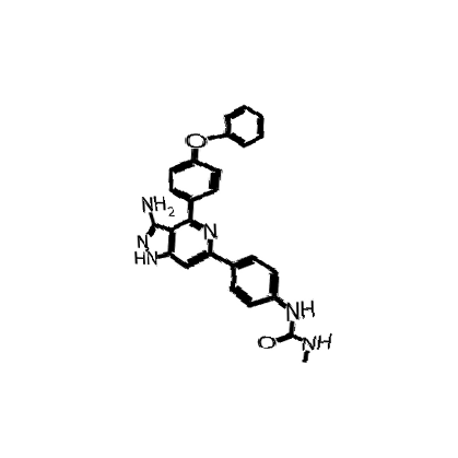 CNC(=O)Nc1ccc(-c2cc3[nH]nc(N)c3c(-c3ccc(Oc4ccccc4)cc3)n2)cc1